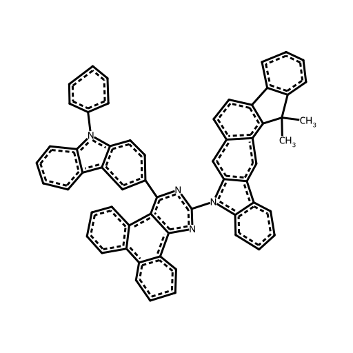 CC1(C)c2ccccc2-c2ccc3cc4c(cc3c21)c1ccccc1n4-c1nc(-c2ccc3c(c2)c2ccccc2n3-c2ccccc2)c2c3ccccc3c3ccccc3c2n1